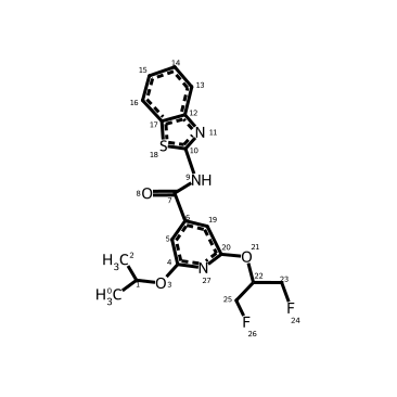 CC(C)Oc1cc(C(=O)Nc2nc3ccccc3s2)cc(OC(CF)CF)n1